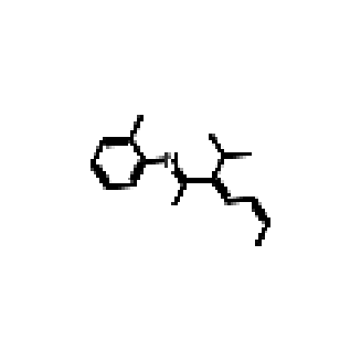 C\C=C/C=C(/C(C)=N/c1ccccc1C)C(C)C